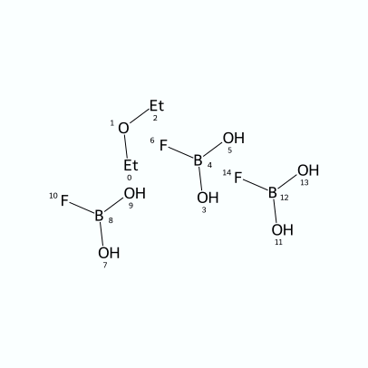 CCOCC.OB(O)F.OB(O)F.OB(O)F